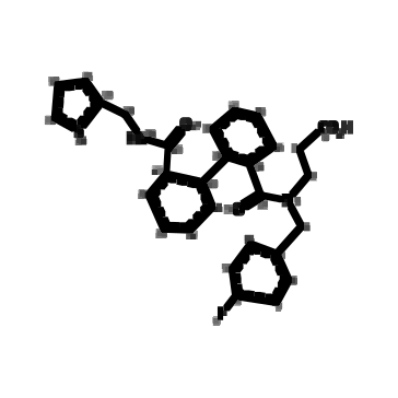 O=C(O)CCN(Cc1ccc(F)cc1)C(=O)c1ccccc1-c1ccccc1C(=O)NCc1cccs1